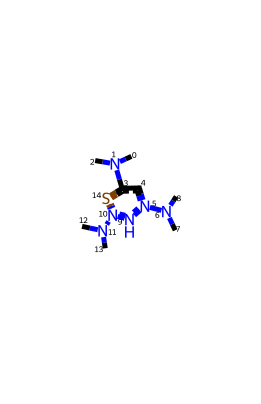 CN(C)c1cn(N(C)C)[nH]n(N(C)C)s1